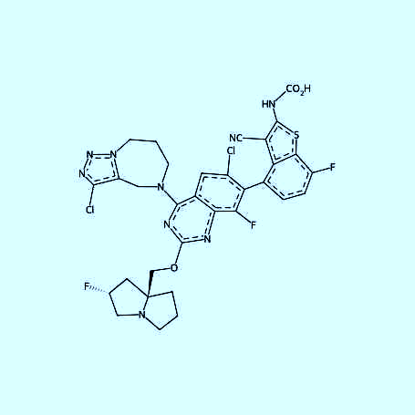 N#Cc1c(NC(=O)O)sc2c(F)ccc(-c3c(Cl)cc4c(N5CCCn6nnc(Cl)c6C5)nc(OC[C@@]56CCCN5C[C@H](F)C6)nc4c3F)c12